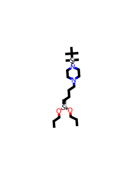 CCCO[SiH](CCCCN1CCN([Si](C)(C)C(C)(C)C)CC1)OCCC